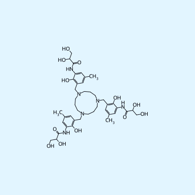 Cc1cc(CN2CCCN(Cc3cc(C)cc(NC(=O)C(O)CO)c3O)CCCN(Cc3cc(C)cc(NC(=O)C(O)CO)c3O)CCC2)c(O)c(NC(=O)C(O)CO)c1